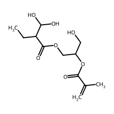 C=C(C)C(=O)OC(CO)COC(=O)C(CC)C(O)O